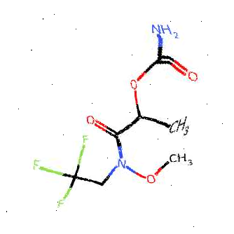 CON(CC(F)(F)F)C(=O)C(C)OC(N)=O